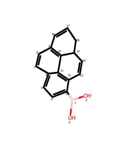 OB(O)c1ccc2ccc3c4c2c1C=CC4CC=C3